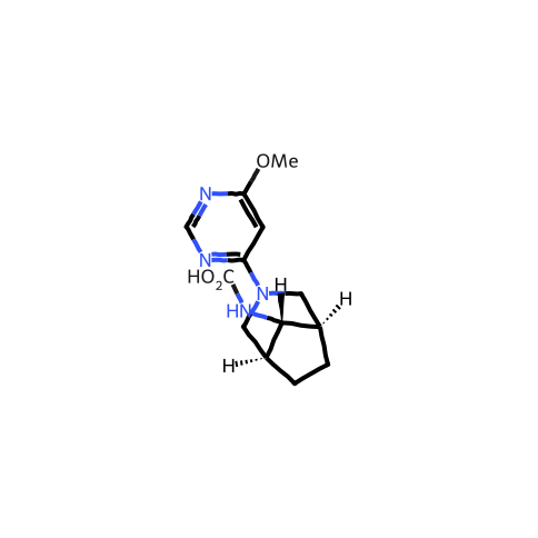 COc1cc(N2C[C@H]3CC[C@@H](C2)[C@@H]3NC(=O)O)ncn1